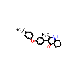 Cc1[nH]c2c(c(=O)c1-c1ccc(Oc3ccc(C(=O)O)cc3)cc1)CCCC2